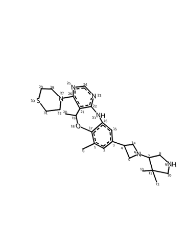 Cc1cc(C2CN(C3CNCC3(C)C)C2)cc2c1OC(C)c1c(ncnc1N1CCSCC1)N2